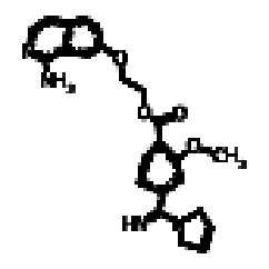 COc1cc(C(=N)N2CC=CC2)ccc1C(=O)OCCOc1ccc2ccnc(N)c2c1